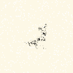 COC[C@H]1CN(C(=O)OC(C)(C)C)[C@H](C)CN1CC(=O)N1CC(C)(C)c2c[n+]([O-])c(Cc3ccc(F)cc3F)cc21